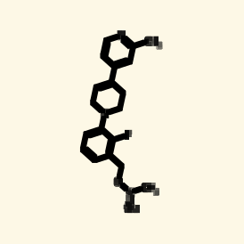 Cc1cc(C2=CCN(c3cccc(CO[SiH](C)C(C)(C)C)c3F)CC2)ccn1